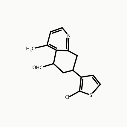 Cc1ccnc2c1C(C=O)CC(c1ccsc1Cl)C2